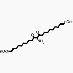 CCCCCCCCC=CCCCCCCCC(=O)C(N)C(=O)CCCCCCCC=CCCCCCCCC